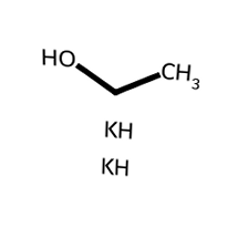 CCO.[KH].[KH]